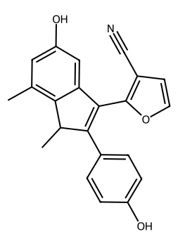 Cc1cc(O)cc2c1C(C)C(c1ccc(O)cc1)=C2c1occc1C#N